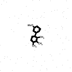 COc1cccc(-c2ccc(C)c(C)c2C)c1